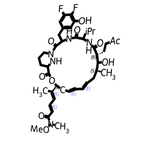 CON(C)C(=O)/C=C/C=C(\C)[C@@H]1C/C=C/C=C/C[C@H](C)C(O)[C@@H](CCC(C)=O)C(=O)NC(C(C)C)C(=O)NC(Cc2cc(O)c(F)c(F)c2)C(=O)N2CCCC(N2)C(=O)O1